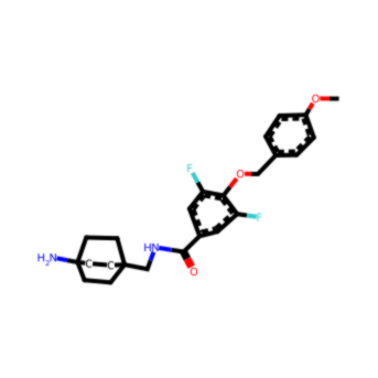 COc1ccc(COc2c(F)cc(C(=O)NCC34CCC(N)(CC3)CC4)cc2F)cc1